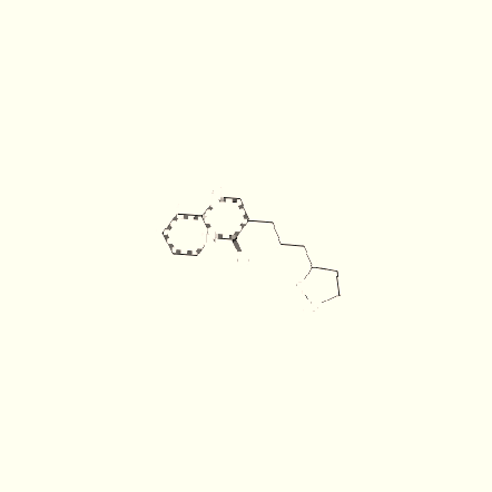 O=c1c(CCCC2CCSS2)cnc2ccccn12